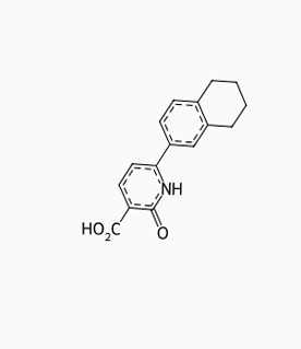 O=C(O)c1ccc(-c2ccc3c(c2)CCCC3)[nH]c1=O